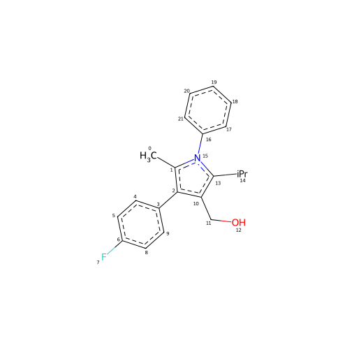 Cc1c(-c2ccc(F)cc2)c(CO)c(C(C)C)n1-c1ccccc1